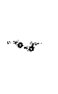 COC(=O)Nc1ccc(OCc2nc3cccc(C(=O)OC)c3o2)cc1